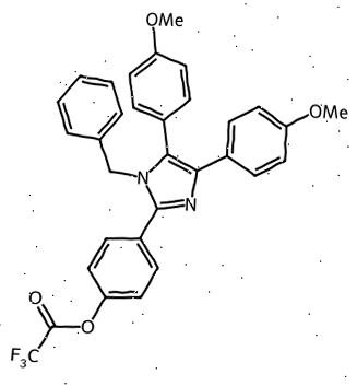 COc1ccc(-c2nc(-c3ccc(OC(=O)C(F)(F)F)cc3)n(Cc3ccccc3)c2-c2ccc(OC)cc2)cc1